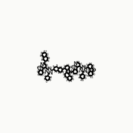 c1ccc(-c2nc(-c3ccc4cc(-c5cccc6c5c5ccc7ccccc7c5n6-c5cccc6c5oc5nccc(-c7nc(-c8ccccc8)nc(-c8cccc9oc%10ccccc%10c89)n7)c56)ccc4c3)nc(-c3cc(-c4ccc5ccccc5c4)nc4oc5ccccc5c34)n2)cc1